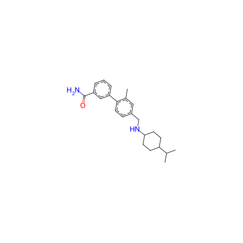 Cc1cc(CNC2CCC(C(C)C)CC2)ccc1-c1cccc(C(N)=O)c1